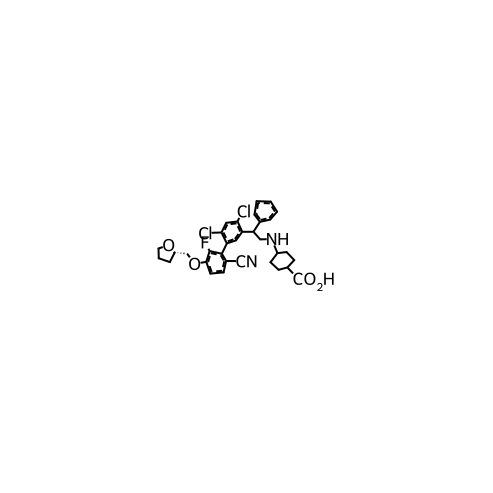 N#Cc1ccc(OC[C@@H]2CCCO2)c(F)c1-c1cc(C(CNC2CCC(C(=O)O)CC2)c2ccccc2)c(Cl)cc1Cl